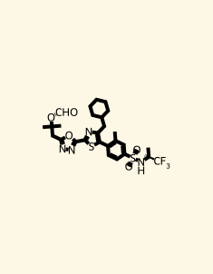 Cc1cc(S(=O)(=O)N[C@@H](C)C(F)(F)F)ccc1-c1sc(-c2nnc(CC(C)(C)OC=O)o2)nc1CC1CCCCC1